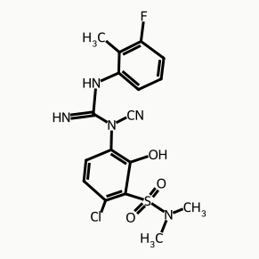 Cc1c(F)cccc1NC(=N)N(C#N)c1ccc(Cl)c(S(=O)(=O)N(C)C)c1O